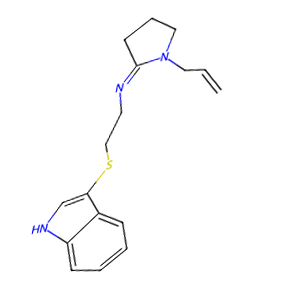 C=CCN1CCCC1=NCCSc1c[nH]c2ccccc12